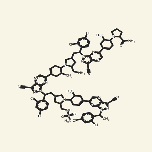 CC1CC(c2cnc3c(C#N)nn(C(CC4CC(CNS(C)(=O)=O)N(C5CC=C(c6cnc7c(C#N)nn(C(C)c8ccc(Cl)cc8Cl)c7n6)CC5C)C4)c4ccc(Cl)cc4Cl)c3n2)=CCC1N1CC(CC(c2ccc(Cl)cc2Cl)n2nc(C#N)c3ncc(C4=CCC(N5CCCC5C(N)=O)C(C)C4)nc32)CC1CN